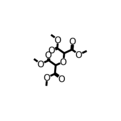 COC(=O)C(OC(C(=O)OC)C(=O)OC)C(=O)OC